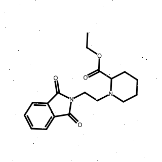 CCOC(=O)C1CCCCN1CCN1C(=O)c2ccccc2C1=O